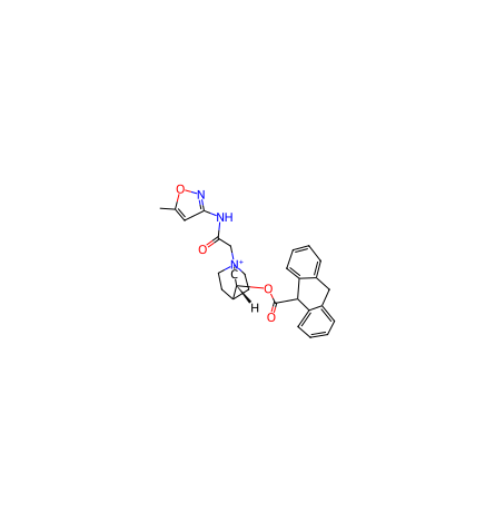 Cc1cc(NC(=O)C[N+]23CCC(CC2)[C@@H](OC(=O)C2c4ccccc4Cc4ccccc42)C3)no1